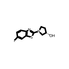 O[C@H]1CCN(c2nc3ccc(I)cc3s2)C1